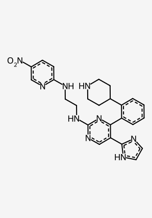 O=[N+]([O-])c1ccc(NCCNc2ncc(-c3ncc[nH]3)c(-c3ccccc3C3CCNCC3)n2)nc1